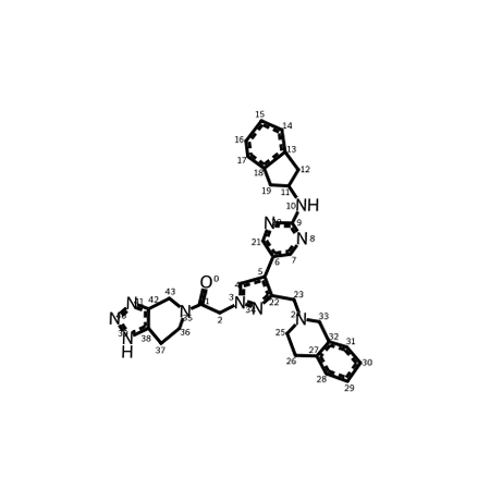 O=C(Cn1cc(-c2cnc(NC3Cc4ccccc4C3)nc2)c(CN2CCc3ccccc3C2)n1)N1CCc2[nH]nnc2C1